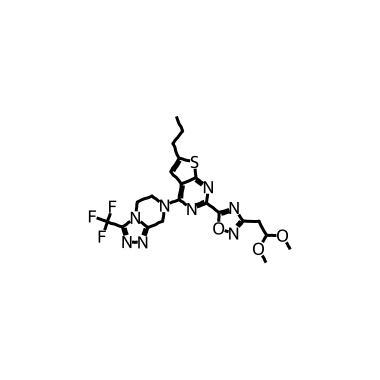 CCCc1cc2c(N3CCn4c(nnc4C(F)(F)F)C3)nc(-c3nc(CC(OC)OC)no3)nc2s1